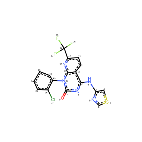 O=c1nc(Nc2cscn2)c2ccc(C(F)(F)F)nc2n1-c1ccccc1Cl